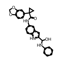 O=C(Nc1ccc2[nH]c(C(O)Nc3ccccc3)cc2c1)C1(c2ccc3c(c2)OCO3)CC1